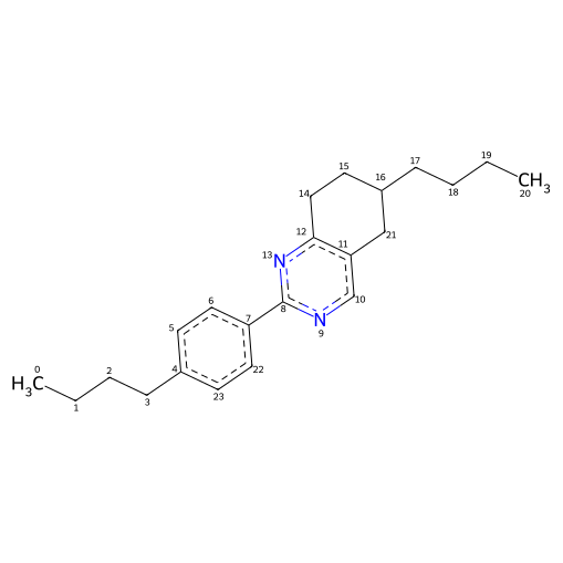 CCCCc1ccc(-c2ncc3c(n2)CCC(CCCC)C3)cc1